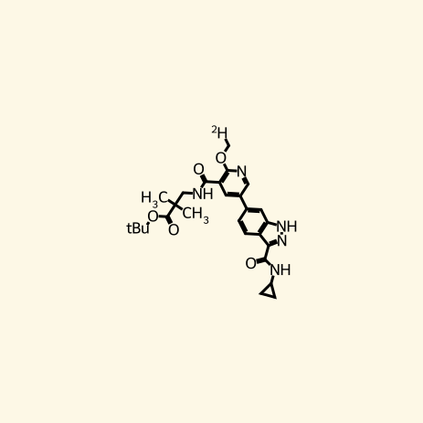 [2H]COc1ncc(-c2ccc3c(C(=O)NC4CC4)n[nH]c3c2)cc1C(=O)NCC(C)(C)C(=O)OC(C)(C)C